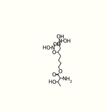 CC(O)C(N)C(=O)OCCCCC(CON(O)O)ON(O)O